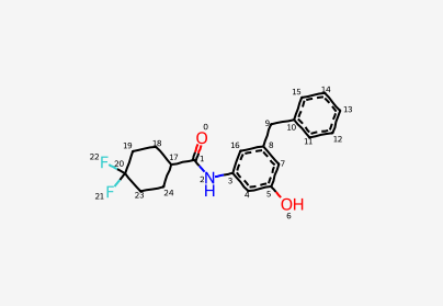 O=C(Nc1cc(O)cc(Cc2ccccc2)c1)C1CCC(F)(F)CC1